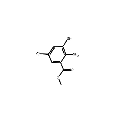 COC(=O)c1cc(Cl)cc(O)c1N